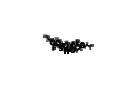 CCCCOc1ccc(OC(F)(F)c2ccc3c(sc4c(F)c(OCCCC)ccc43)c2F)c(F)c1F